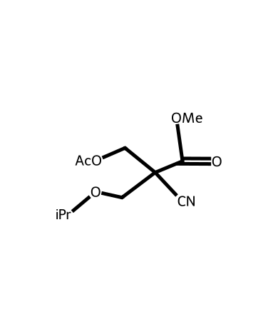 COC(=O)C(C#N)(COC(C)=O)COC(C)C